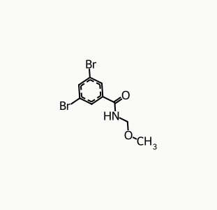 COCNC(=O)c1cc(Br)cc(Br)c1